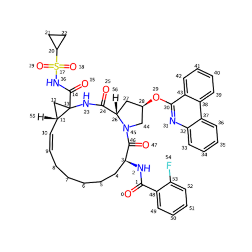 O=C(N[C@H]1CCCCC/C=C\[C@@H]2CC2(C(=O)NS(=O)(=O)C2CC2)NC(=O)[C@@H]2C[C@@H](Oc3nc4ccccc4c4ccccc34)CN2C1=O)c1ccccc1F